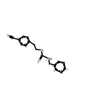 N#Cc1ccc(CCOC(=O)NCc2ccccc2)cc1